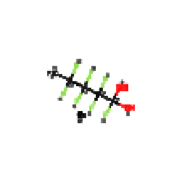 OC(O)(F)C(F)(F)C(F)(F)C(F)(F)C(F)(F)F.[Cs]